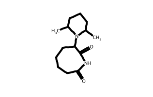 CC1CCCC(C)N1C1CCCCC(=O)NC1=O